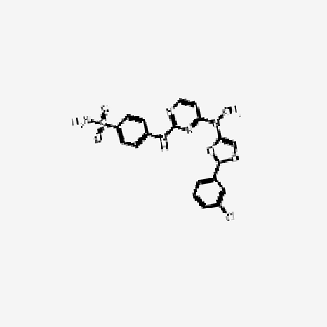 CN(C1=COC(c2cccc(Cl)c2)O1)c1ccnc(Nc2ccc(S(N)(=O)=O)cc2)n1